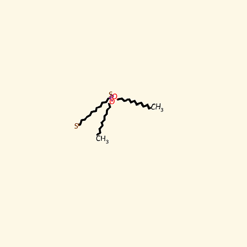 CCCCCCCCCCCCOP(=S)(CCCCCCCCCCCC=S)OCCCCCCCCCCCC